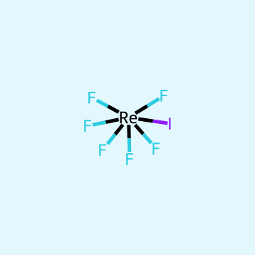 [F][Re]([F])([F])([F])([F])([F])[I]